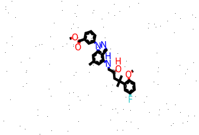 COC(=O)c1cccc(-n2ncc3c(NC[C@H](O)CC(C)(C)c4cc(F)ccc4OC)cc(C)cc32)c1